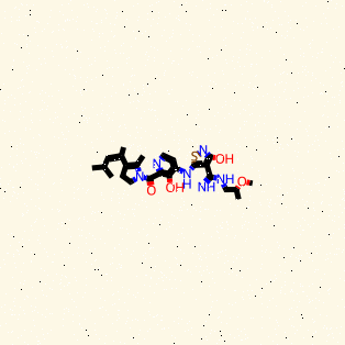 COC(C)CNC(=N)c1c(O)nsc1Nc1ccnc(C(=O)N2CCC(/C(C)=C\C(C)C)=C2C)c1O